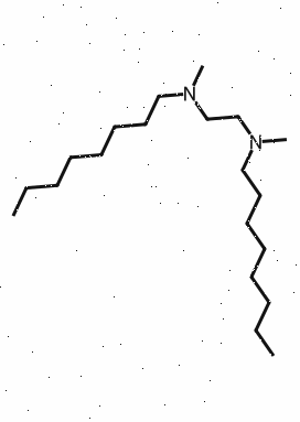 CCCCCCCCN(C)CCN(C)CCCCCCCC